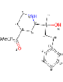 COC(=O)C1CCNC(C(C)(O)CCc2ccccc2)C1